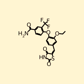 CCOc1cc(/C=C2/SC(=O)NC2=O)ccc1Oc1ccc(C(N)=O)cc1C(F)(F)F